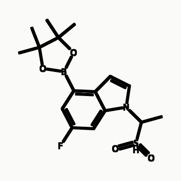 CC(n1ccc2c(B3OC(C)(C)C(C)(C)O3)cc(F)cc21)[SH](=O)=O